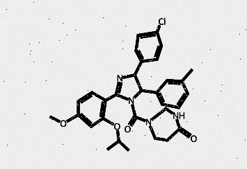 COc1ccc(C2=NC(c3ccc(Cl)cc3)C(c3cccc(C)c3)N2C(=O)N2CCC(=O)NC2)c(OC(C)C)c1